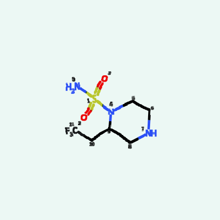 NS(=O)(=O)N1CCNCC1CC(F)(F)F